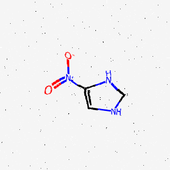 O=[N+]([O-])C1=CN[C]N1